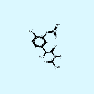 CCN(C(=O)C(C)c1ccc(C)c(N=S(=O)=O)c1)C(=S)NC